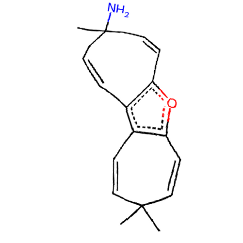 CC1(C)C=Cc2oc3c(c2C=C1)C=CC(C)(N)C=C3